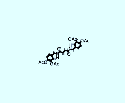 CC(=O)Oc1ccc(CNC(=O)/C=C/C(=O)NCc2ccc(OC(C)=O)c(OC(C)=O)c2)cc1OC(C)=O